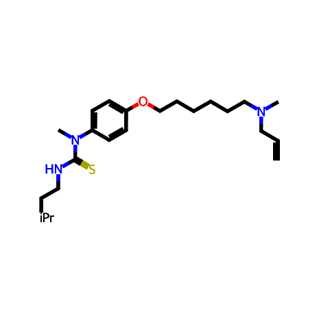 C=CCN(C)CCCCCCOc1ccc(N(C)C(=S)NCCC(C)C)cc1